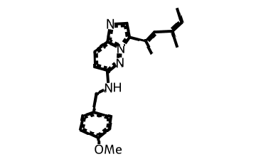 C/C=C(C)\C=C(/C)c1cnc2ccc(NCc3ccc(OC)cc3)nn12